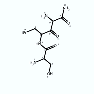 CC(C)CC(NC(=O)C(N)CO)C(=O)C(N)C(N)=O